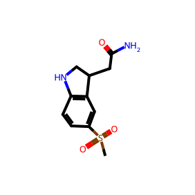 CS(=O)(=O)c1ccc2c(c1)C(CC(N)=O)CN2